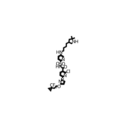 CC1(C)CC(CCCCNc2ccc(S(=O)(=O)NC(=O)c3ccc(-n4ccc(OCCC5(C(F)(F)F)CC5)n4)nc3Cl)nc2)CN1